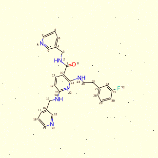 O=C(NCc1cccnc1)c1ccc(NCc2cccnc2)nc1NCCc1cccc(F)c1